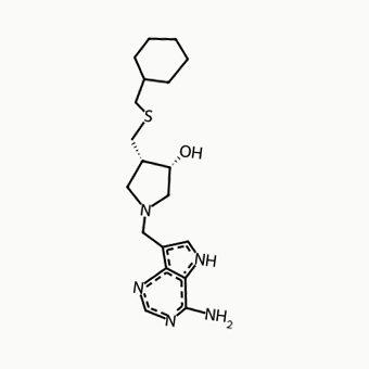 Nc1ncnc2c(CN3C[C@H](CSCC4CCCCC4)[C@H](O)C3)c[nH]c12